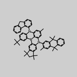 Cc1cc2c3c(c1)N(c1cccc4c1-c1ccccc1C4)c1ccc(C(C)(C)C)cc1B3c1cc3c(cc1N2c1cc2c(cc1C)C(C)(C)c1ccccc1C2(C)C)C(C)(C)CC3(C)C